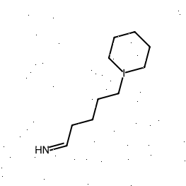 N=CCCCCI1CCCCC1